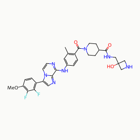 COc1ccc(-c2cnc3c(Nc4ccc(C(=O)N5CCC(C(=O)NCC6(O)CNC6)CC5)c(C)c4)nccn23)c(F)c1F